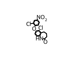 O=C1CCCc2cc(Oc3c(Cl)cc([N+](=O)[O-])cc3Cl)ccc2N1